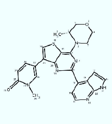 C[C@@H]1COCCN1c1nc(-c2ccnc3[nH]ccc23)nc2c(-c3ccc(=O)n(C)c3)csc12